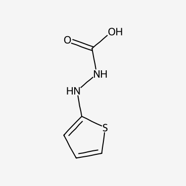 O=C(O)NNc1cccs1